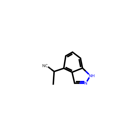 CC(C#N)c1cccc2[nH]ncc12